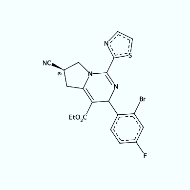 CCOC(=O)C1=C2C[C@@H](C#N)CN2C(c2nccs2)=NC1c1ccc(F)cc1Br